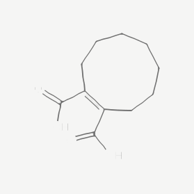 O=C(O)C1=C(C(=O)O)CCCCCCC1